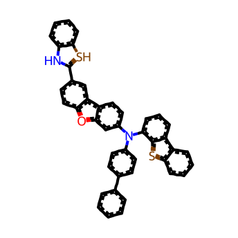 c1ccc(-c2ccc(N(c3ccc4c(c3)oc3ccc(C5=[SH]c6ccccc6N5)cc34)c3cccc4c3sc3ccccc34)cc2)cc1